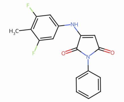 Cc1c(F)cc(NC2=CC(=O)N(c3ccccc3)C2=O)cc1F